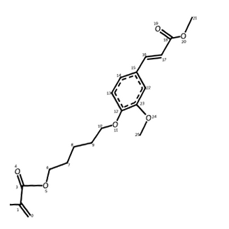 C=C(C)C(=O)OCCCCCOc1ccc(/C=C/C(=O)OC)cc1OC